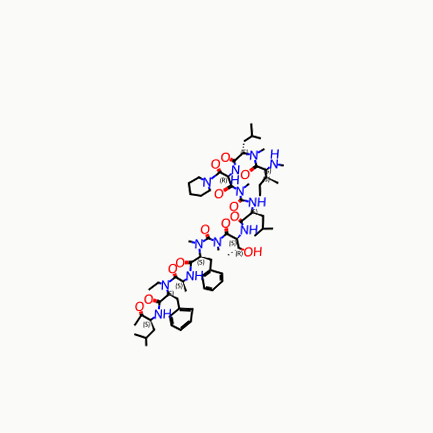 CC[C@H](C)[C@H](NC)C(=O)N(C)[C@@H](CC(C)C)C(=O)N[C@H](C(=O)N1CCCCC1)C(=O)N(C)C(=O)N[C@@H](CC(C)C)C(=O)N[C@H](C(=O)N(C)C(=O)N(C)[C@@H](Cc1ccccc1)C(=O)N[C@@H](C)C(=O)N(CC)[C@@H](Cc1ccccc1)C(=O)N[C@@H](CC(C)C)C(C)=O)[C@@H](C)O